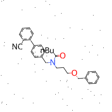 CCCCC(=O)N(CCCOCc1ccccc1)Cc1ccc(-c2ccccc2C#N)cc1